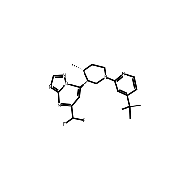 C[C@@H]1CCN(c2cc(C(C)(C)C)ccn2)C[C@H]1c1cc(C(F)F)nc2ncnn12